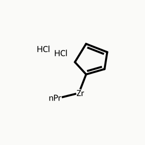 CC[CH2][Zr][C]1=CC=CC1.Cl.Cl